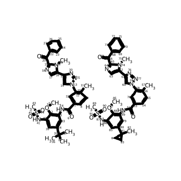 COc1c(NC(=O)c2ccc(C)c(-n3cc(-c4cnc(C(=O)c5ccccc5)n4C)nn3)c2)cc(C(C)(C)C)cc1NS(C)(=O)=O.COc1c(NC(=O)c2ccc(C)c(-n3cc(-c4cnc(C(=O)c5ccccc5)n4C)nn3)c2)cc(C2(C)CC2)cc1NS(C)(=O)=O